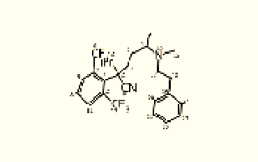 CC(CCC(C#N)(c1c(C(F)(F)F)cccc1C(F)(F)F)C(C)C)N(C)CCc1ccccc1